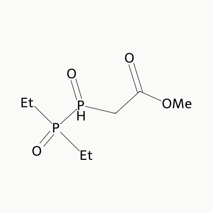 CCP(=O)(CC)[PH](=O)CC(=O)OC